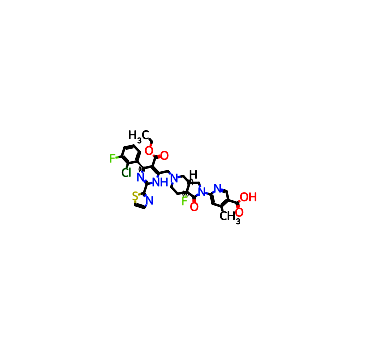 CCOC(=O)C1=C(CN2CC[C@]3(F)C(=O)N(c4cc(C)c(C(=O)O)cn4)C[C@@H]3C2)NC(c2nccs2)=N[C@H]1c1cccc(F)c1Cl